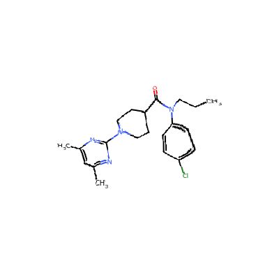 CCCN(C(=O)C1CCN(c2nc(C)cc(C)n2)CC1)c1ccc(Cl)cc1